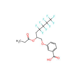 CCC(=O)OC(COc1cccc(C(=O)O)c1)CC(F)(F)C(F)(F)C(F)(F)C(F)(F)F